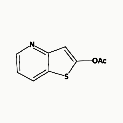 CC(=O)Oc1cc2ncccc2s1